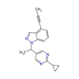 CC#Cc1cccc2c1cnn2C(C)c1cnc(C2CC2)nc1